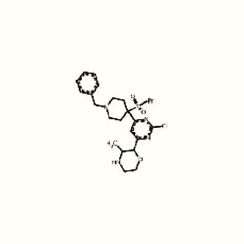 CC1NCCOC1c1cc(C2(S(=O)(=O)C(C)C)CCN(Cc3ccccc3)CC2)nc(Cl)n1